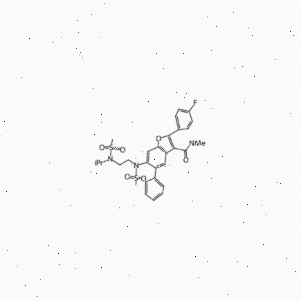 CNC(=O)c1c(-c2ccc(F)cc2)oc2cc(N(CCN(C(C)C)S(C)(=O)=O)S(C)(=O)=O)c(-c3ccccc3)cc12